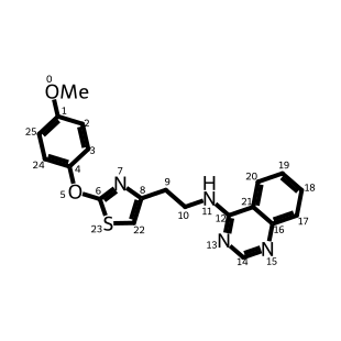 COc1ccc(Oc2nc(CCNc3ncnc4ccccc34)cs2)cc1